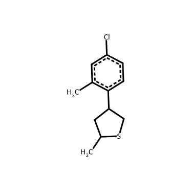 Cc1cc(Cl)ccc1C1CSC(C)C1